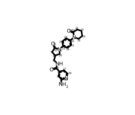 Nc1cc(C(=O)NCC2CC(=O)N(c3ccc(N4CCCCC4=O)cc3)C2)ccn1